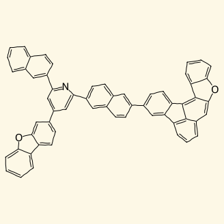 c1ccc2cc(-c3cc(-c4ccc5c(c4)oc4ccccc45)cc(-c4ccc5cc(-c6ccc7c(c6)-c6cccc8cc9oc%10ccccc%10c9c-7c68)ccc5c4)n3)ccc2c1